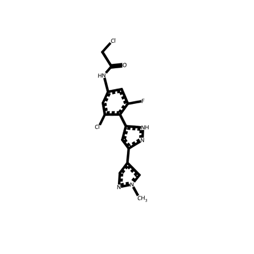 Cn1cc(-c2cc(-c3c(F)cc(NC(=O)CCl)cc3Cl)[nH]n2)cn1